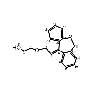 OCCOCC=C1c2ccccc2CCc2ccccc21